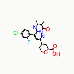 Cc1nc2c(-c3ccc(Cl)cc3F)cc(C3CCOC(C(=O)O)C3)nn2c(=O)c1C